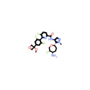 COC1(c2cc(F)c(-c3nc(C(=O)Nc4cnn(C)c4[C@@H]4CC[C@@H](N)[C@@H](F)CO4)ccc3F)c(F)c2)COC1